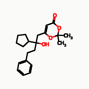 CC1(C)OC(=O)C=C(CC(O)(CCc2ccccc2)C2CCCC2)O1